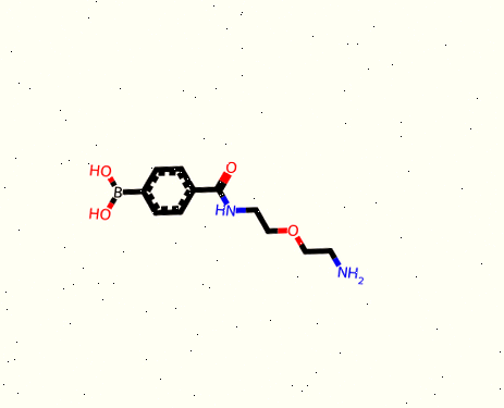 NCCOCCNC(=O)c1ccc(B(O)O)cc1